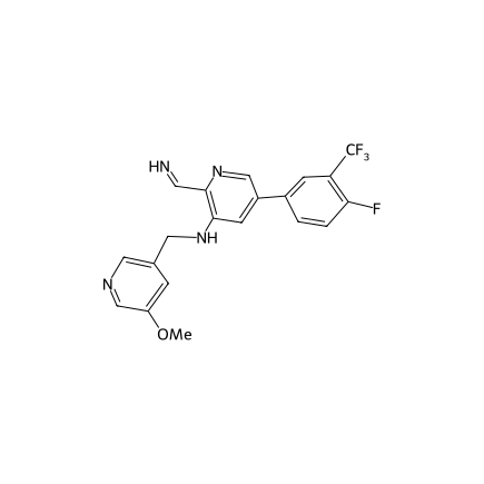 COc1cncc(CNc2cc(-c3ccc(F)c(C(F)(F)F)c3)cnc2C=N)c1